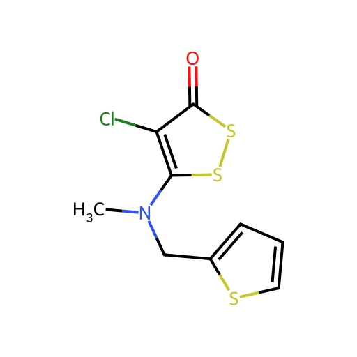 CN(Cc1cccs1)c1ssc(=O)c1Cl